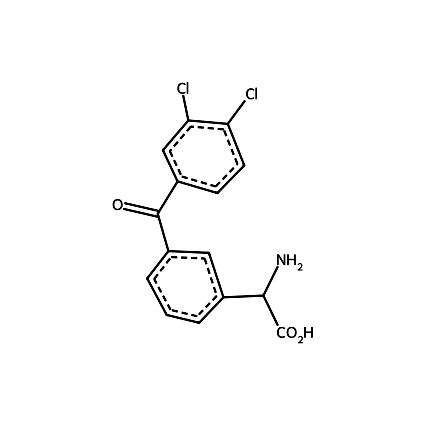 NC(C(=O)O)c1cccc(C(=O)c2ccc(Cl)c(Cl)c2)c1